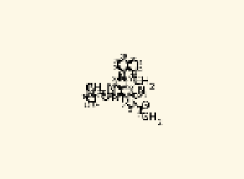 C=CC(=O)N1CCN(c2nc(OC[C@@H]3CCCN3C)nc3c2CCN(c2cccc4cccc(C=C)c24)C3)C[C@@H]1CC#N